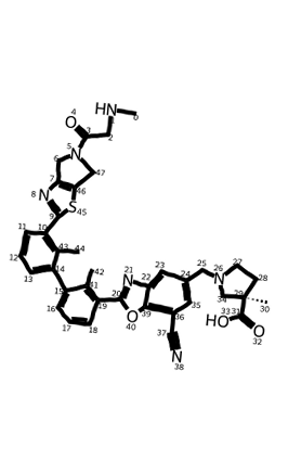 CNCC(=O)N1Cc2nc(-c3cccc(-c4cccc(-c5nc6cc(CN7CC[C@@](C)(C(=O)O)C7)cc(C#N)c6o5)c4C)c3C)sc2C1